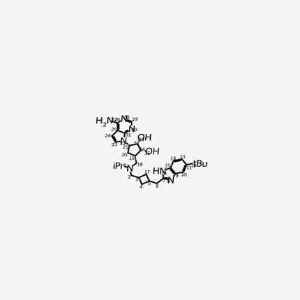 CC(C)N(CC1CC(Cc2nc3cc(C(C)(C)C)ccc3[nH]2)C1)C[C@H]1C[C@@H](n2ccc3c(N)ncnc32)[C@H](O)[C@@H]1O